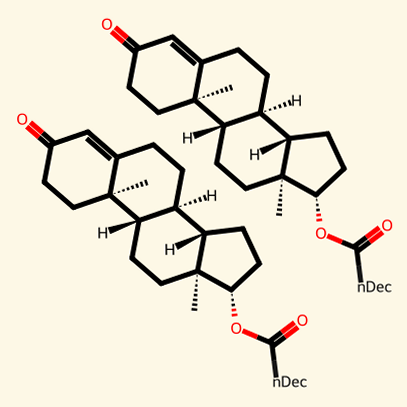 CCCCCCCCCCC(=O)O[C@H]1CC[C@H]2[C@@H]3CCC4=CC(=O)CC[C@]4(C)[C@H]3CC[C@]12C.CCCCCCCCCCC(=O)O[C@H]1CC[C@H]2[C@@H]3CCC4=CC(=O)CC[C@]4(C)[C@H]3CC[C@]12C